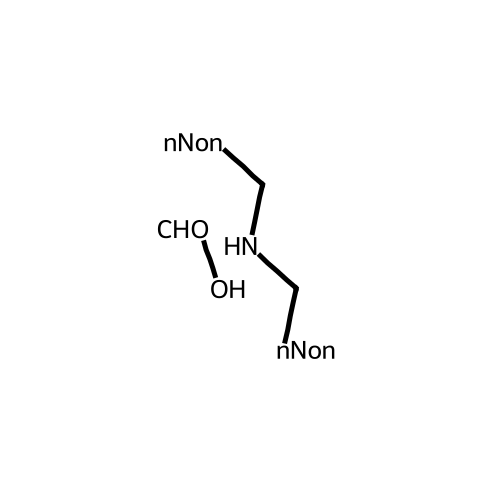 CCCCCCCCCCNCCCCCCCCCC.O=CO